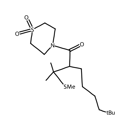 CSC(C)(C)C(CCCCC(C)(C)C)C(=O)N1CCS(=O)(=O)CC1